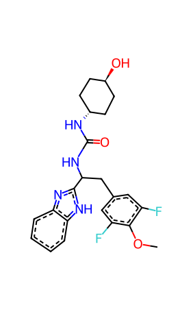 COc1c(F)cc(CC(NC(=O)N[C@H]2CC[C@H](O)CC2)c2nc3ccccc3[nH]2)cc1F